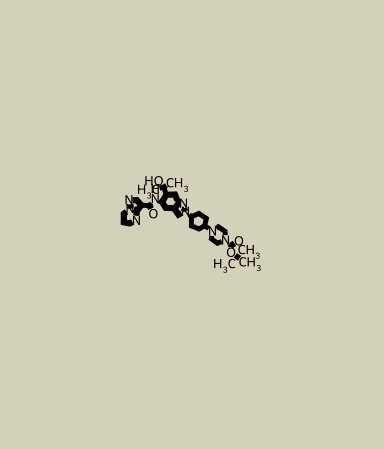 CC(C)(C)OC(=O)N1CCN(C2CCC(n3cc4cc(NC(=O)c5cnn6cccnc56)c(C(C)(C)O)cc4n3)CC2)CC1